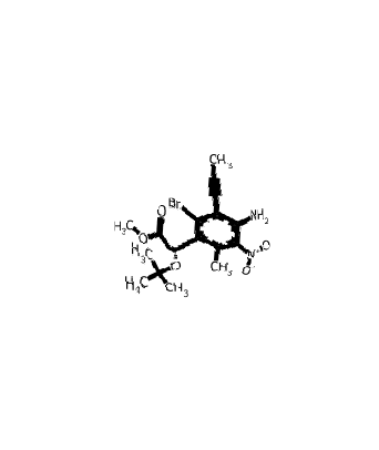 CC#Cc1c(N)c([N+](=O)[O-])c(C)c([C@H](OC(C)(C)C)C(=O)OC)c1Br